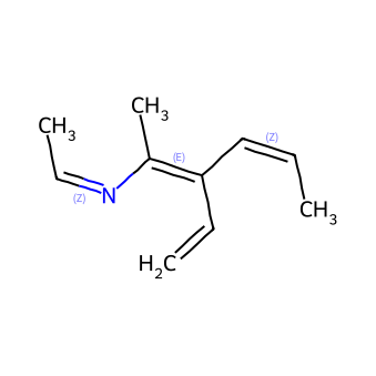 C=CC(/C=C\C)=C(C)\N=C/C